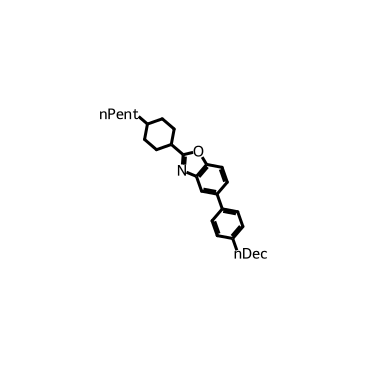 CCCCCCCCCCc1ccc(-c2ccc3oc(C4CCC(CCCCC)CC4)nc3c2)cc1